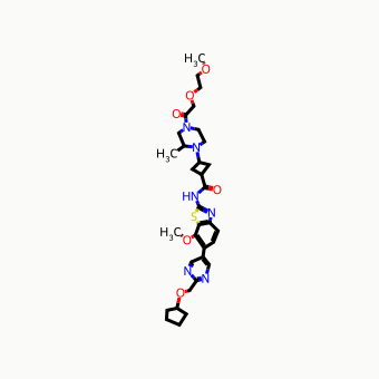 COCCOCC(=O)N1CCN(C2CC(C(=O)Nc3nc4ccc(-c5cnc(COC6CCCC6)nc5)c(OC)c4s3)C2)C(C)C1